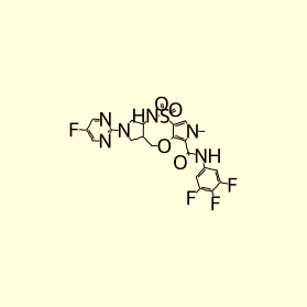 Cn1cc2c(c1C(=O)Nc1cc(F)c(F)c(F)c1)OCC1CN(c3ncc(F)cn3)CC1NS2(=O)=O